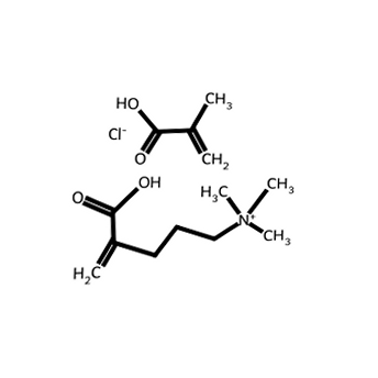 C=C(C)C(=O)O.C=C(CCC[N+](C)(C)C)C(=O)O.[Cl-]